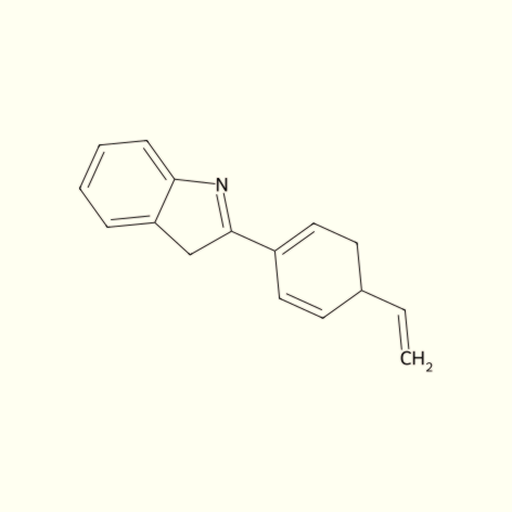 C=CC1C=CC(C2=Nc3ccccc3C2)=CC1